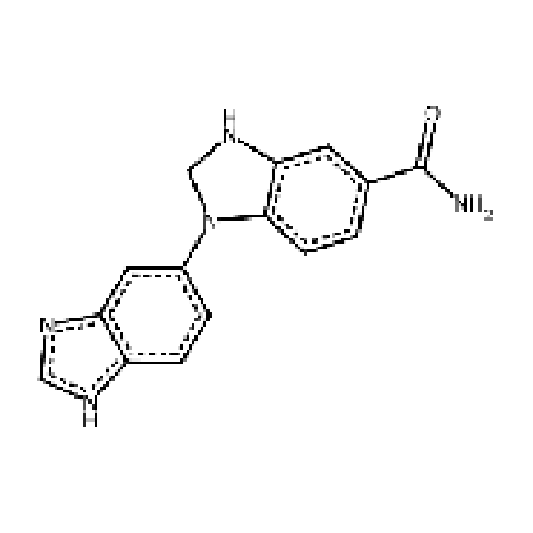 NC(=O)c1ccc2c(c1)NCN2c1ccc2[nH]cnc2c1